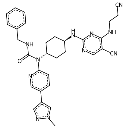 Cn1cc(-c2ccc(N(C(=O)NCc3ccccc3)[C@H]3CC[C@H](Nc4ncc(C#N)c(NCCC#N)n4)CC3)nc2)cn1